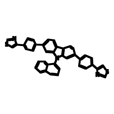 c1ccc2c(-n3c4cc(-c5ccc(-c6cscn6)cc5)ccc4c4ccc(-c5ccc(-c6cscn6)cc5)cc43)cccc2c1